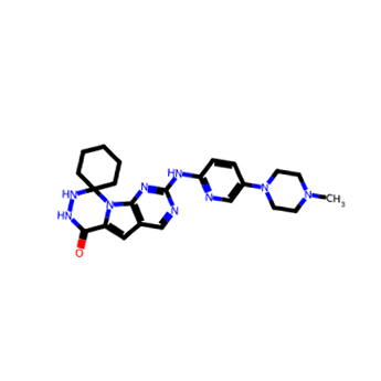 CN1CCN(c2ccc(Nc3ncc4cc5n(c4n3)C3(CCCCC3)NNC5=O)nc2)CC1